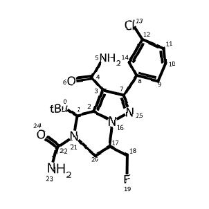 CC(C)(C)C1c2c(C(N)=O)c(-c3cccc(Cl)c3)nn2C(CF)CN1C(N)=O